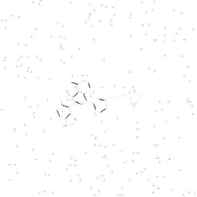 Cc1ccc2[nH]ncc2c1-c1cc(-c2cccc(OCCN3CCCC3)n2)c2nc[nH]c(=O)c2c1N